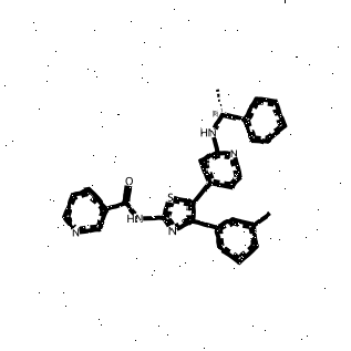 Cc1cccc(-c2nc(NC(=O)c3cccnc3)sc2-c2ccnc(N[C@H](C)c3ccccc3)c2)c1